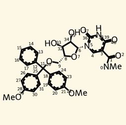 CNC(=O)c1cn([C@@H]2O[C@H](COC(c3ccccc3)(c3ccc(OC)cc3)c3ccc(OC)cc3)[C@@H](O)[C@H]2O)c(=O)[nH]c1=O